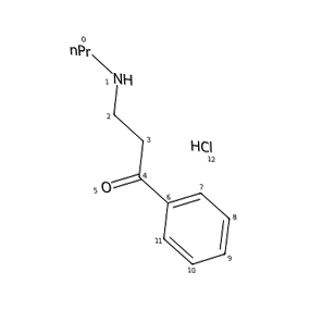 CCCNCCC(=O)c1ccccc1.Cl